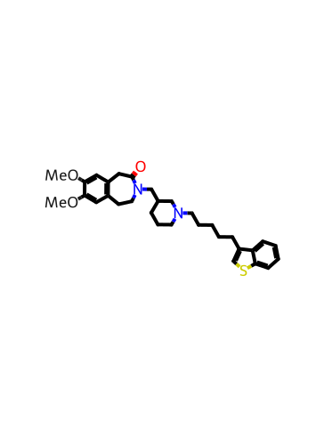 COc1cc2c(cc1OC)CC(=O)N(CC1CCCN(CCCCCc3csc4ccccc34)C1)CC2